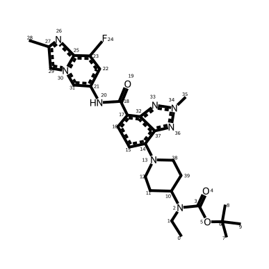 CCN(C(=O)OC(C)(C)C)C1CCN(c2ccc(C(=O)Nc3cc(F)c4nc(C)cn4c3)c3nn(C)nc23)CC1